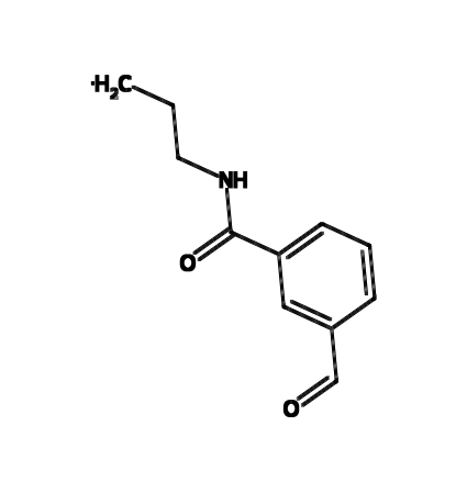 [CH2]CCNC(=O)c1cccc(C=O)c1